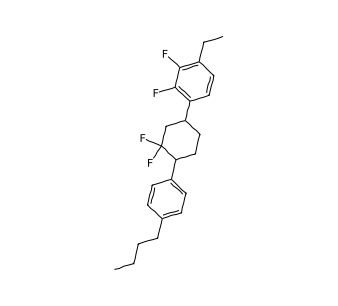 CCCCc1ccc(C2CCC(c3ccc(CC)c(F)c3F)CC2(F)F)cc1